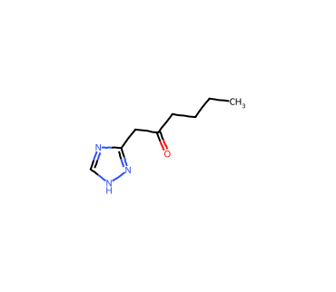 CCCCC(=O)Cc1nc[nH]n1